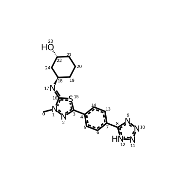 Cn1nc(-c2ccc(-c3nnn[nH]3)cc2)sc1=N[C@@H]1CCC[C@@H](O)C1